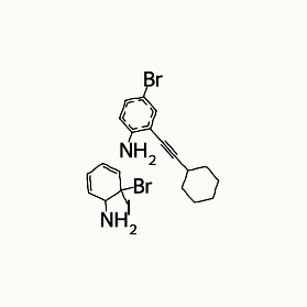 NC1C=CC=CC1(Br)I.Nc1ccc(Br)cc1C#CC1CCCCC1